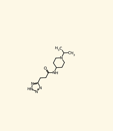 CC(C)N1CCC(NC(=O)CCc2nn[nH]n2)CC1